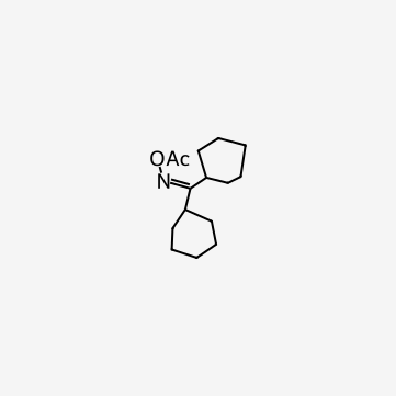 CC(=O)ON=C(C1CCCCC1)C1CCCCC1